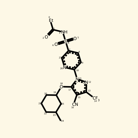 CCC(=O)NS(=O)(=O)c1ccc(-n2nc(C(F)(F)F)c(C#N)c2OC2CCCC(C)C2)nc1